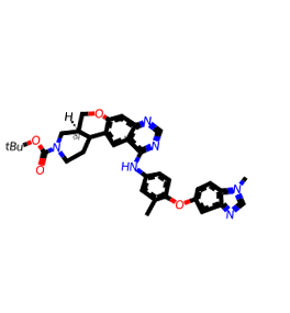 Cc1cc(Nc2ncnc3cc4c(cc23)C2CCN(C(=O)OC(C)(C)C)C[C@H]2CO4)ccc1Oc1ccc2c(c1)ncn2C